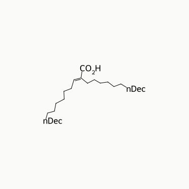 CCCCCCCCCCCCCCCCC=C(CCCCCCCCCCCCCCCC)C(=O)O